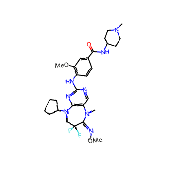 CO/N=C1/N(C)c2cnc(Nc3ccc(C(=O)NC4CCN(C)CC4)cc3OC)nc2N(C2CCCC2)CC1(F)F